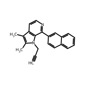 C#CCn1c(C)c(C)c2ccnc(-c3ccc4ccccc4c3)c21